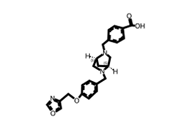 O=C(O)c1ccc(CN2C[C@@H]3C[C@H]2CN3Cc2ccc(OCc3cocn3)cc2)cc1